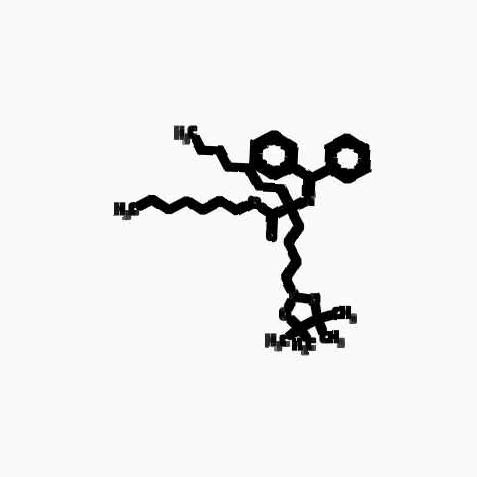 CCCCCCCOC(=O)C(CCCCCCC)(CCCCB1OC(C)(C)C(C)(C)O1)N=C(c1ccccc1)c1ccccc1